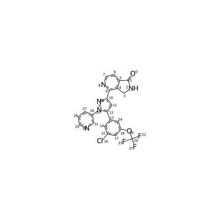 O=C1NCc2c1ccnc2-c1cc(-c2cc(Cl)cc(OC(F)(F)F)c2)n(-c2cccnc2)n1